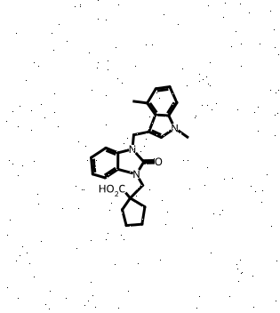 Cc1cccc2c1c(Cn1c(=O)n(CC3(C(=O)O)CCCC3)c3ccccc31)cn2C